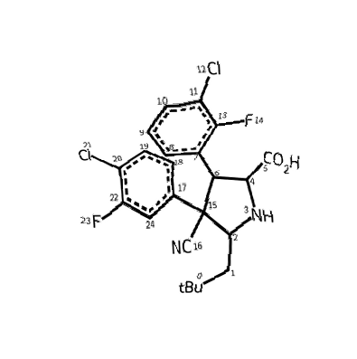 CC(C)(C)CC1NC(C(=O)O)C(c2cccc(Cl)c2F)C1(C#N)c1ccc(Cl)c(F)c1